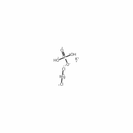 O=P([O-])(O)O.[Cl][Mg][Cl].[K+]